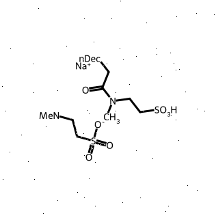 CCCCCCCCCCCC(=O)N(C)CCS(=O)(=O)O.CNCCS(=O)(=O)[O-].[Na+]